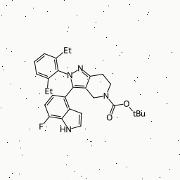 CCc1cccc(CC)c1-n1nc2c(c1-c1ccc(F)c3[nH]ccc13)CN(C(=O)OC(C)(C)C)CC2